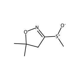 C[S+]([O-])C1=NOC(C)(C)C1